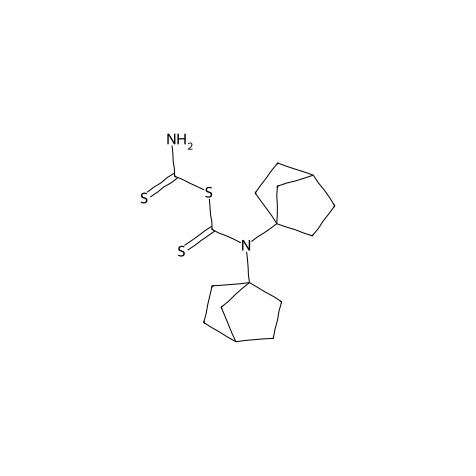 NC(=S)SC(=S)N(C12CCC(CC1)C2)C12CCC(CC1)C2